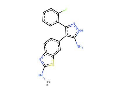 CC[C@@H](C)Nc1nc2ccc(-c3c(-c4ccccc4F)n[nH]c3N)cc2s1